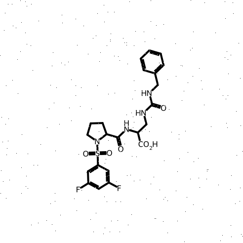 O=C(NCc1ccccc1)NCC(NC(=O)C1CCCN1S(=O)(=O)c1cc(F)cc(F)c1)C(=O)O